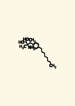 CCCCCCCCc1ccc(C(C)C(C)(N)C(O)O)cc1